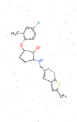 Cc1cc2c(s1)CCC(CNC1CCC(Oc3ccc(Cl)cc3C)C1O)=C2